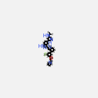 CC(C)Nc1cncc(-c2ccc3[nH]nc(-c4cc5c(-c6cc(F)cc(OCCN7CCCC7)c6)cccc5[nH]4)c3c2)c1